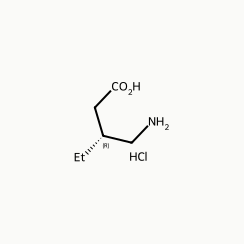 CC[C@@H](CN)CC(=O)O.Cl